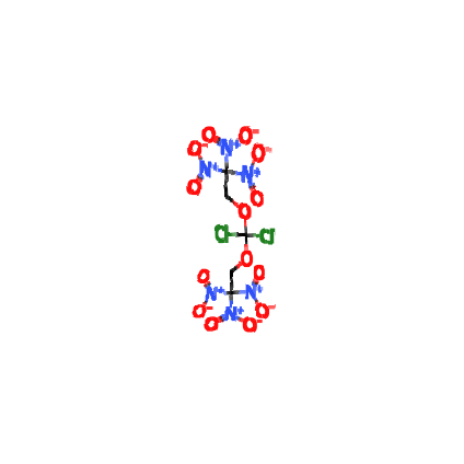 O=[N+]([O-])C(COC(Cl)(Cl)OCC([N+](=O)[O-])([N+](=O)[O-])[N+](=O)[O-])([N+](=O)[O-])[N+](=O)[O-]